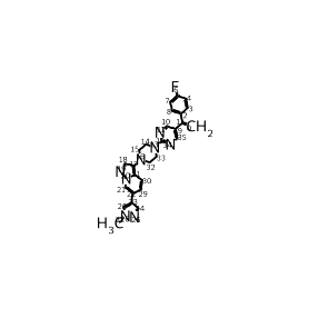 C=C(c1ccc(F)cc1)c1cnc(N2CCN(c3cnn4cc(-c5cnn(C)c5)ccc34)CC2)nc1